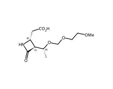 COCCOCO[C@H](C)[C@H]1C(=O)N[C@@H]1CC(=O)O